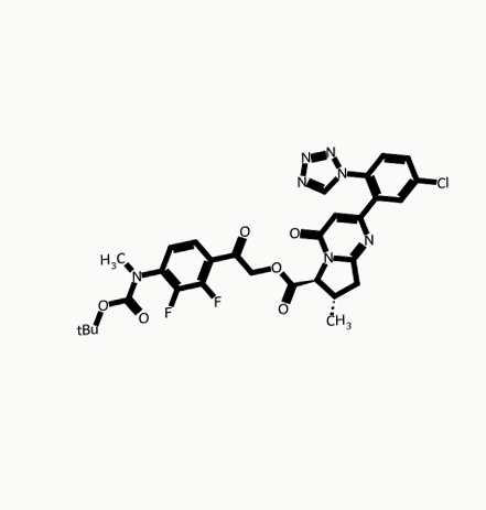 C[C@H]1Cc2nc(-c3cc(Cl)ccc3-n3cnnn3)cc(=O)n2[C@@H]1C(=O)OCC(=O)c1ccc(N(C)C(=O)OC(C)(C)C)c(F)c1F